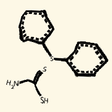 NC(=S)S.c1ccc(Sc2ccccc2)cc1